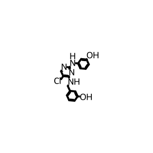 Oc1cccc(CNc2nc(Nc3cccc(O)c3)ncc2Cl)c1